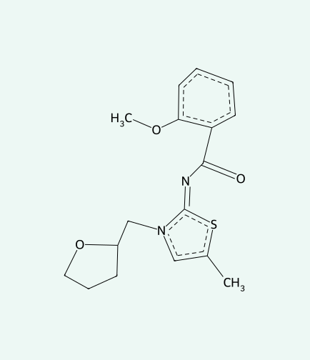 COc1ccccc1C(=O)N=c1sc(C)cn1CC1CCCO1